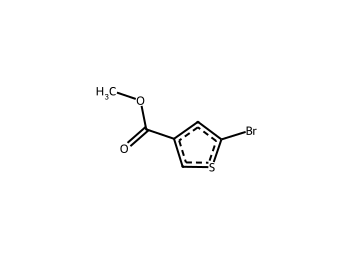 COC(=O)c1csc(Br)c1